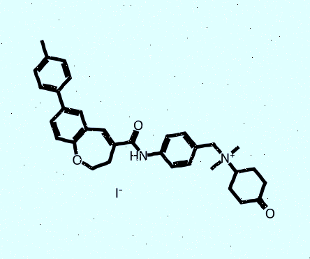 Cc1ccc(-c2ccc3c(c2)C=C(C(=O)Nc2ccc(C[N+](C)(C)C4CCC(=O)CC4)cc2)CCO3)cc1.[I-]